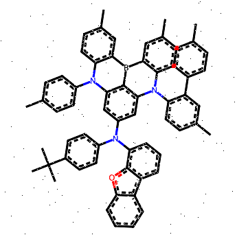 Cc1ccc(-c2cc(C)ccc2N2c3ccc(C)cc3B3c4cc(C)ccc4N(c4ccc(C)cc4)c4cc(N(c5ccc(C(C)(C)C)cc5)c5cccc6c5oc5ccccc56)cc2c43)cc1